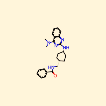 CN(C)c1nc(N[C@H]2CC[C@@H](CNC(=O)c3ccccc3)CC2)nc2ccccc12